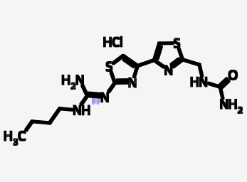 CCCCN/C(N)=N/c1nc(-c2csc(CNC(N)=O)n2)cs1.Cl